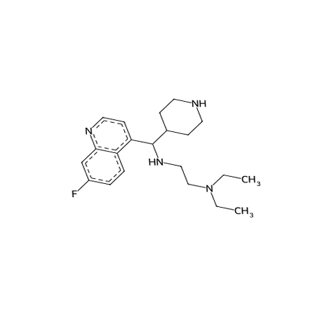 CCN(CC)CCNC(c1ccnc2cc(F)ccc12)C1CCNCC1